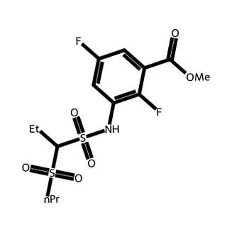 CCCS(=O)(=O)C(CC)S(=O)(=O)Nc1cc(F)cc(C(=O)OC)c1F